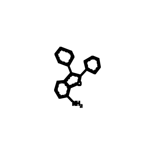 Nc1cccc2c(-c3ccccc3)c(-c3ccccc3)oc12